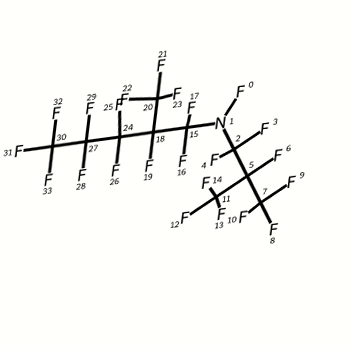 FN(C(F)(F)C(F)(C(F)(F)F)C(F)(F)F)C(F)(F)C(F)(C(F)(F)F)C(F)(F)C(F)(F)C(F)(F)F